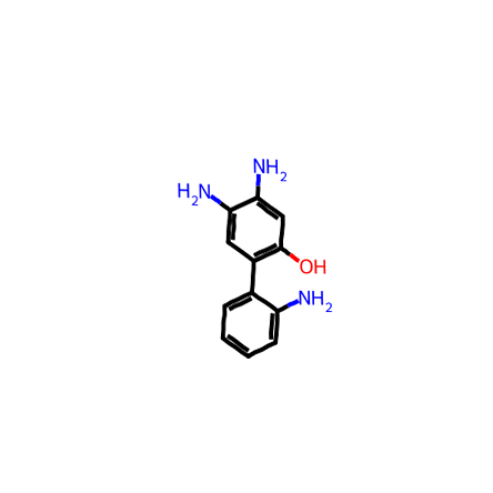 Nc1cc(O)c(-c2ccccc2N)cc1N